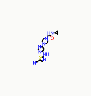 N#Cc1cnc(Nc2cc(N3CCN(CC(=O)NC4CC4)CC3)ncn2)s1